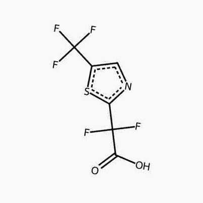 O=C(O)C(F)(F)c1ncc(C(F)(F)F)s1